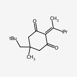 CC(=C1C(=O)CC(C)(CC(C)(C)C)CC1=O)C(C)C